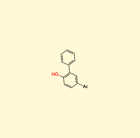 CC(=O)c1ccc(O)c(-c2ccccc2)c1